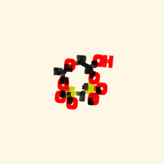 O=S1(=O)CS(=O)(=O)OC(O)COCO1